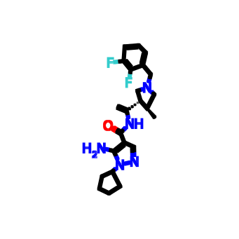 C=C(NC(=O)c1cnn(C2CCCC2)c1N)[C@@H]1CN(Cc2cccc(F)c2F)C[C@H]1C